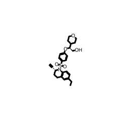 C#C[C@H]1CCc2cc(CC)ccc2N1S(=O)(=O)c1ccc(O[C@H](CO)C2CCOCC2)cc1